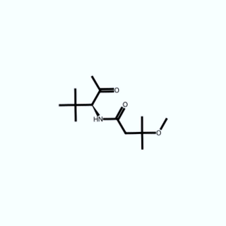 COC(C)(C)CC(=O)N[C@H](C(C)=O)C(C)(C)C